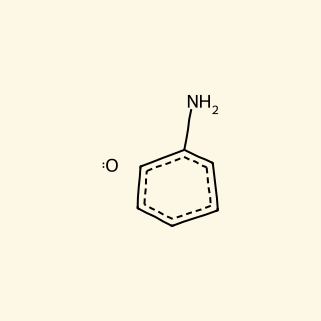 Nc1ccccc1.[O]